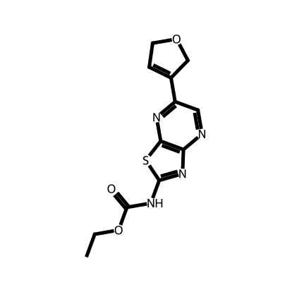 CCOC(=O)Nc1nc2ncc(C3=CCOC3)nc2s1